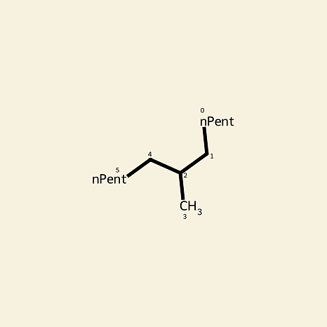 [CH2]CCCCCC(C)CCCCC[CH2]